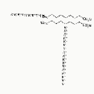 CCCCCCCCCCCCCCCCCC(=O)O.CCCCCCCCCCCCCCCCCC(=O)O.[K+].[K+].[K+].[K+].[K+].[K+].[K+].[K+].[K+].[K+].[K+].[K+].[K+].[K+].[K+].[K+].[K+].[K+].[K+].[K+].[K+].[K+].[K+].[K+].[K+].[K+].[K+]